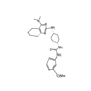 COc1cccc(NC(=O)N[C@H]2CC[C@@H](Nc3nc4c(c(N(C)C)n3)CCCC4)CC2)c1